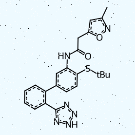 Cc1cc(CC(=O)Nc2cc(-c3ccccc3-c3nn[nH]n3)ccc2SC(C)(C)C)on1